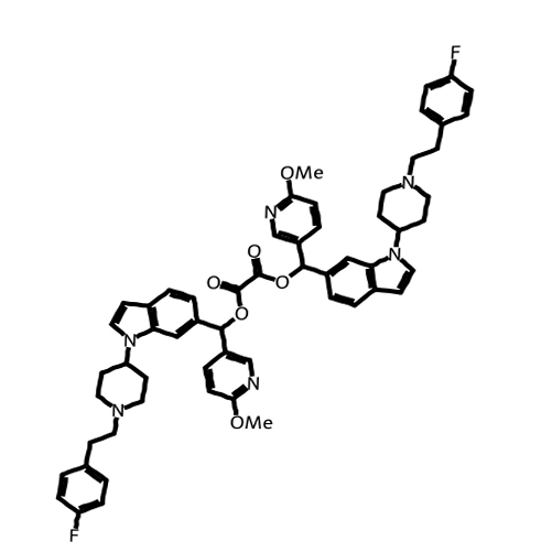 COc1ccc(C(OC(=O)C(=O)OC(c2ccc(OC)nc2)c2ccc3ccn(C4CCN(CCc5ccc(F)cc5)CC4)c3c2)c2ccc3ccn(C4CCN(CCc5ccc(F)cc5)CC4)c3c2)cn1